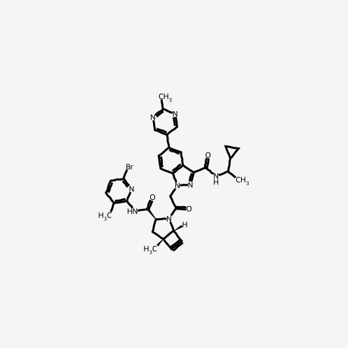 Cc1ncc(-c2ccc3c(c2)c(C(=O)NC(C)C2CC2)nn3CC(=O)N2[C@H](C(=O)Nc3nc(Br)ccc3C)C[C@@]3(C)C#C[C@@H]23)cn1